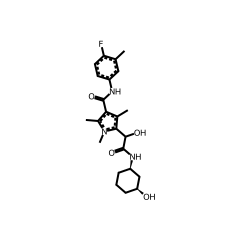 Cc1cc(NC(=O)c2c(C)c(C(O)C(=O)N[C@@H]3CCC[C@H](O)C3)n(C)c2C)ccc1F